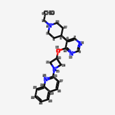 O=CCN1CCC(c2cncnc2OC2CN(c3ccc4ccccc4n3)C2)CC1